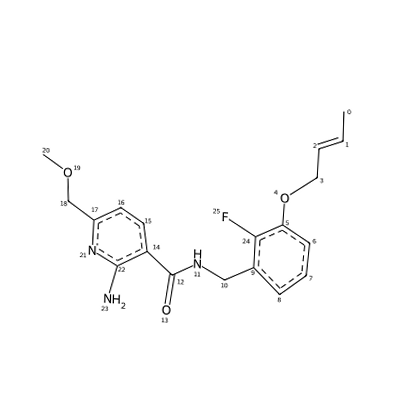 CC=CCOc1cccc(CNC(=O)c2ccc(COC)nc2N)c1F